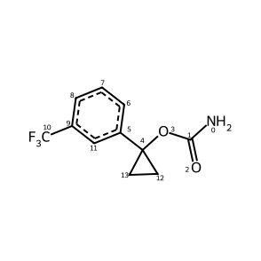 NC(=O)OC1(c2cccc(C(F)(F)F)c2)CC1